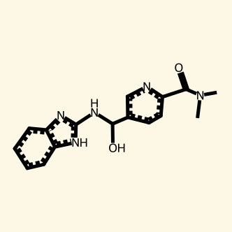 CN(C)C(=O)c1ccc(C(O)Nc2nc3ccccc3[nH]2)cn1